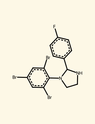 Fc1ccc(C2NCCN2c2c(Br)cc(Br)cc2Br)cc1